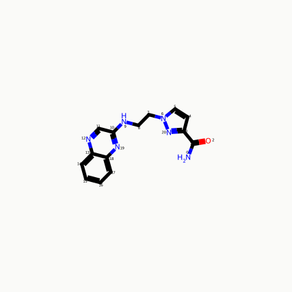 NC(=O)c1[c]cn(CCNc2cnc3ccccc3n2)n1